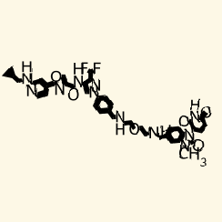 Cn1c(=O)n(C2CCC(=O)NC2=O)c2ccc(CNCCOCCNCc3ccc(-n4cc(NC(=O)c5coc(-c6ccnc(NCC7CC7)c6)n5)c(C(F)F)n4)cc3)cc21